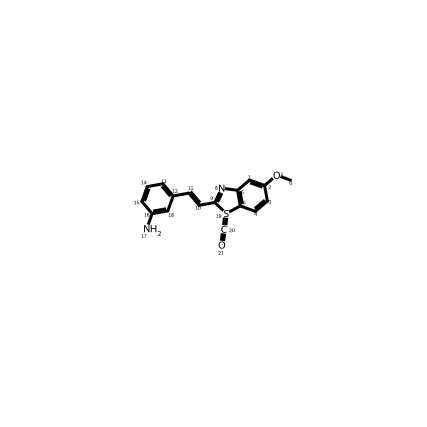 COc1ccc2c(c1)N=C(C=Cc1cccc(N)c1)S2=C=O